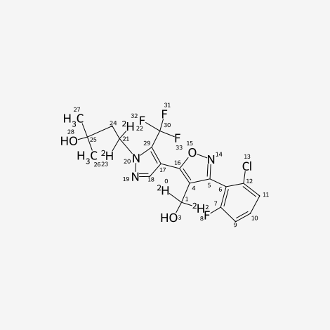 [2H]C([2H])(O)c1c(-c2c(F)cccc2Cl)noc1-c1cnn(C([2H])([2H])CC(C)(C)O)c1C(F)(F)F